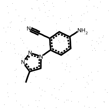 Cc1cn(-c2ccc(N)cc2C#N)nn1